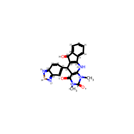 Cn1c2c(c(=O)n(C)c1=O)C(c1ccc3nsnc3c1)C1=C(N2)c2ccccc2C1=O